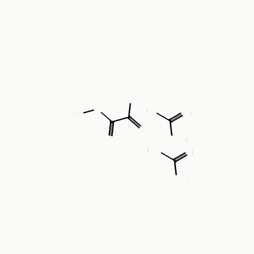 C=C(C)C(=O)O.C=C(C)C(=O)O.C=C(C)C(=O)OC(C)(C)C